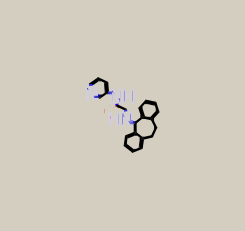 O=C(CNC1c2ccccc2CCc2ccccc21)Nc1cccnc1